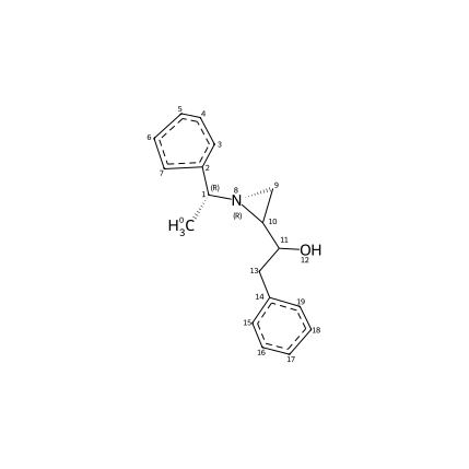 C[C@H](c1ccccc1)[N@]1CC1C(O)Cc1ccccc1